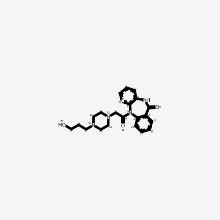 O=C1Nc2cccnc2N(C(=O)CN2CCN(CCCO)CC2)c2ccccc21